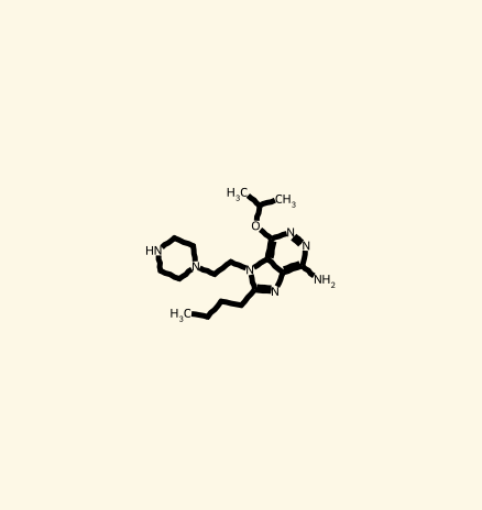 CCCCc1nc2c(N)nnc(OC(C)C)c2n1CCN1CCNCC1